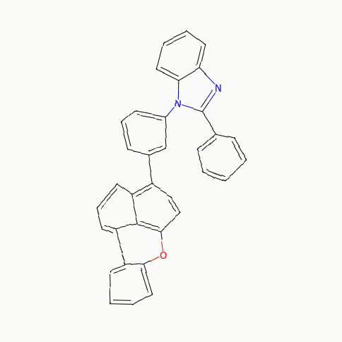 c1ccc(-c2nc3ccccc3n2-c2cccc(-c3ccc4c5c(cccc35)-c3ccccc3O4)c2)cc1